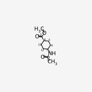 COC(=O)[C@H]1CC[C@@H](NC(C)=O)CC1